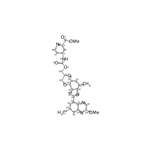 COC(=O)c1cc(NC(=O)OCC2COc3c(cc(C)c4nc(-c5cc(C)cc6nc(OC)cnc56)sc34)O2)ccn1